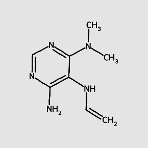 C=CNc1c(N)ncnc1N(C)C